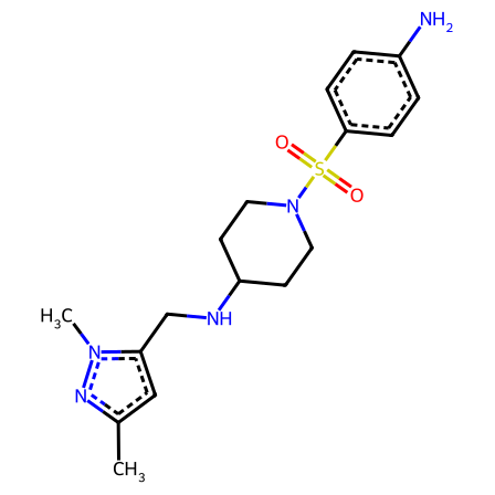 Cc1cc(CNC2CCN(S(=O)(=O)c3ccc(N)cc3)CC2)n(C)n1